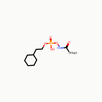 CCCCCCCC(=O)NOP(=O)(O)OCCC1CCCCC1